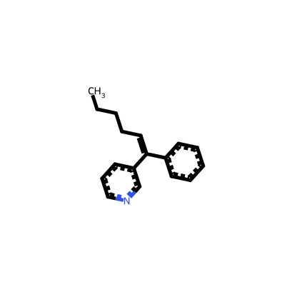 CCCCC=C(c1ccccc1)c1cccnc1